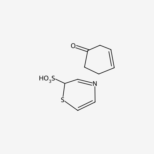 O=C1CC=CCC1.O=S(=O)(O)C1C=NC=CS1